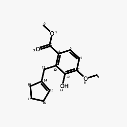 COC(=O)c1ccc(OC)c(O)c1CC1=CCCC1